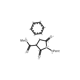 CCCCCN1C(=O)CC(C(=O)OC)C1=O.c1ccccc1